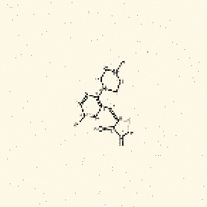 CN1CCN(c2ccc(F)cc2C=C2CCNC2=O)CC1